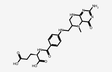 CN1C(CNc2ccc(C(=O)N[C@H](CCC(=O)O)C(=O)O)cc2)CNC2=NC(N)=NC(=O)C21